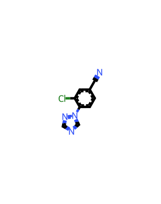 N#Cc1ccc(-n2cncn2)c(Cl)c1